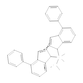 CC1=Cc2c(-c3ccccc3)cccc2[CH]1[Hf]([CH3])([CH3])([CH]1C(C)=Cc2c(-c3ccccc3)cccc21)[SiH](C)C